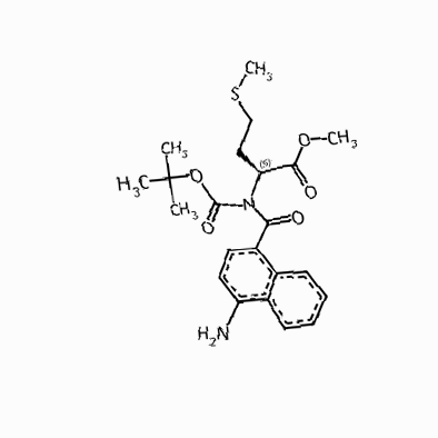 COC(=O)[C@H](CCSC)N(C(=O)OC(C)(C)C)C(=O)c1ccc(N)c2ccccc12